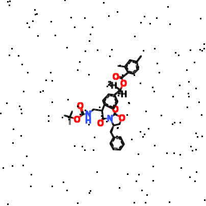 [2H]C([2H])(OC(=O)c1ccc(C)cc1C)c1ccc(C(CNC(=O)OC(C)(C)C)C(=O)N2C(=O)OC[C@H]2Cc2ccccc2)cc1